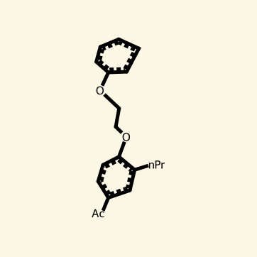 CCCc1cc(C(C)=O)ccc1OCCOc1ccccc1